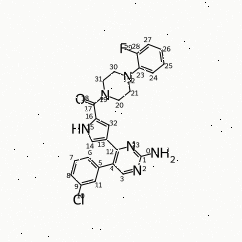 Nc1ncc(-c2cccc(Cl)c2)c(-c2c[nH]c(C(=O)N3CCN(c4ccccc4F)CC3)c2)n1